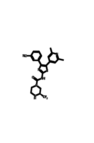 Cc1cc(-c2sc(NC(=O)N3CCN[C@H](C(F)(F)F)C3)nc2-c2cccc(C#N)c2)cc(C)n1